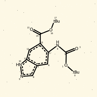 CC(C)(C)OC(=O)Nc1cc2cn[nH]c2cc1C(=O)OC(C)(C)C